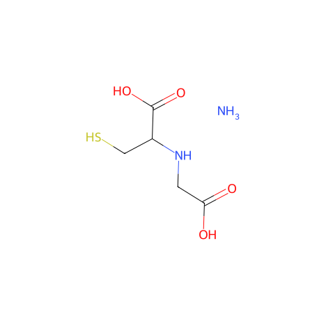 N.O=C(O)CNC(CS)C(=O)O